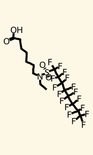 CCN(CCCCCCC(=O)O)S(=O)(=O)C(F)(F)C(F)(F)C(F)(F)C(F)(F)C(F)(F)C(F)(F)C(F)(F)C(F)(F)F